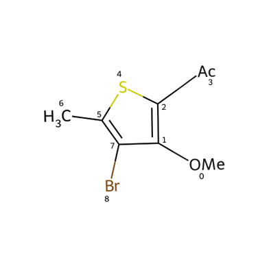 COc1c(C(C)=O)sc(C)c1Br